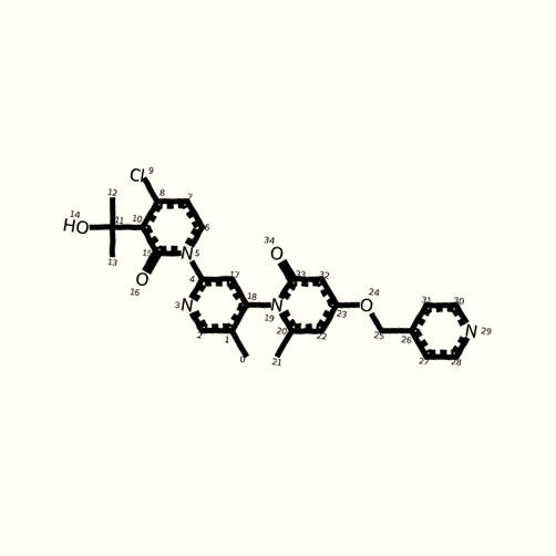 Cc1cnc(-n2ccc(Cl)c(C(C)(C)O)c2=O)cc1-n1c(C)cc(OCc2ccncc2)cc1=O